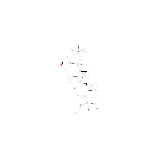 COC[C@]1(C)C2CC[C@]3(C)[C@H](CC=C4[C@H]5CC(C)(C)CC[C@]5(C(=O)O)CC[C@]43C)[C@@]2(C)CC[C@@H]1O